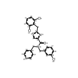 O=C(c1csc(Cc2c(Cl)cccc2Cl)n1)N(Cc1ccncc1)Cc1cccc(Cl)c1